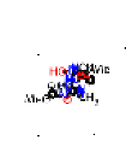 COc1ccc(Cn2c(-c3nc(C(=O)NCc4cc(OC)cc(OC)c4)cc4c3cnn4C)nnc2-c2c(OCc3ccccc3)c(C)nn2CCO)cc1